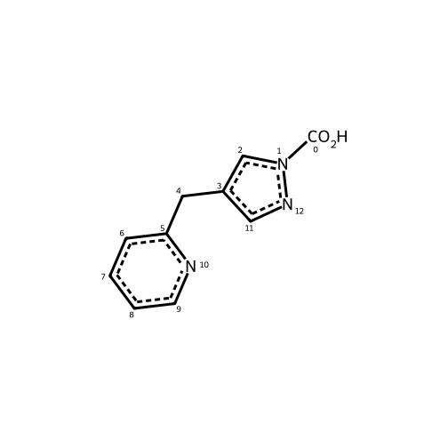 O=C(O)n1cc(Cc2ccccn2)cn1